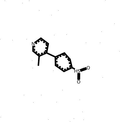 Cc1cnccc1-c1ccc([SH](=O)=O)cc1